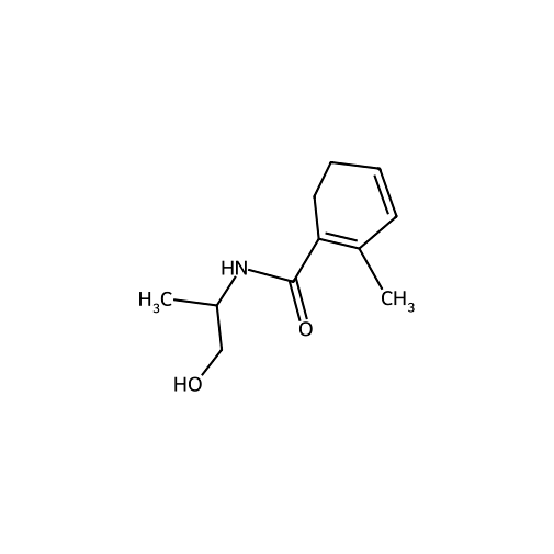 CC1=C(C(=O)NC(C)CO)CCC=C1